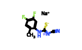 Cc1cc(F)c(F)cc1N/C([S-])=N/C#N.[Na+]